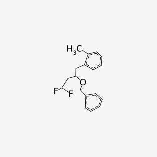 Cc1ccccc1CC(CC(F)F)OCc1ccccc1